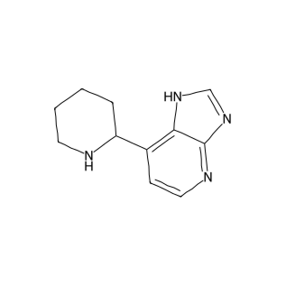 c1cc(C2CCCCN2)c2[nH]cnc2n1